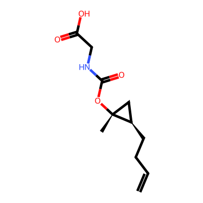 C=CCC[C@@H]1C[C@@]1(C)OC(=O)NCC(=O)O